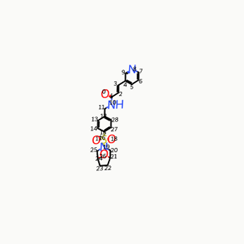 O=C(C=Cc1cccnc1)NCc1ccc(S(=O)(=O)N2CC3CCC(C2)O3)cc1